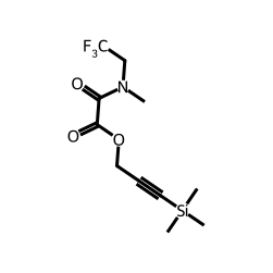 CN(CC(F)(F)F)C(=O)C(=O)OCC#C[Si](C)(C)C